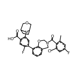 Cc1cc(F)cc(Cl)c1C(=O)N1COc2c(cccc2-c2cc(N3C4CCC3COC4)c(C(=O)O)cc2F)C1